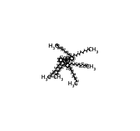 CCCCCCCCCCc1cccc(OP(=O)(Oc2cccc(CCCCCCCCCC)c2CCCCCCCCCC)Oc2cccc(CCCCCCCCCC)c2CCCCCCCCCC)c1CCCCCCCCCC